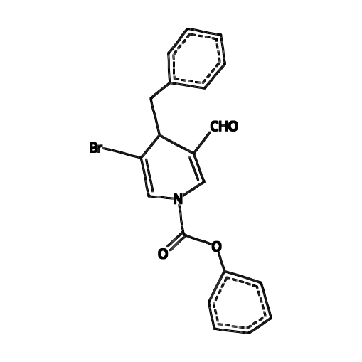 O=CC1=CN(C(=O)Oc2ccccc2)C=C(Br)C1Cc1ccccc1